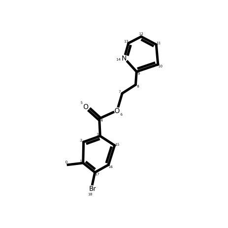 Cc1cc(C(=O)OCCc2ccccn2)ccc1Br